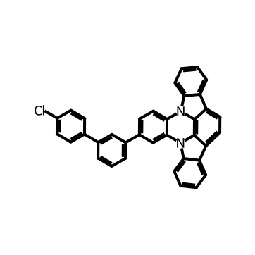 Clc1ccc(-c2cccc(-c3ccc4c(c3)n3c5ccccc5c5ccc6c7ccccc7n4c6c53)c2)cc1